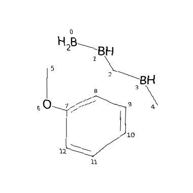 BBCBC.COc1ccccc1